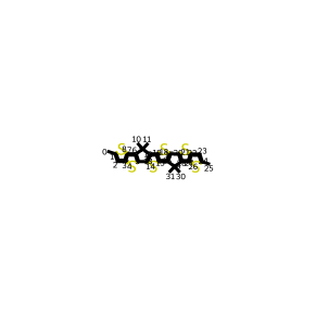 Cc1cc2sc3c(c2s1)C(C)(C)c1c-3sc2c3c(sc12)-c1sc2cc(C)sc2c1C3(C)C